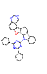 c1ccc(-c2nc(-c3ccccc3)nc(-n3c4ccccc4c4ccc5c(oc6ccc7ncncc7c65)c43)n2)cc1